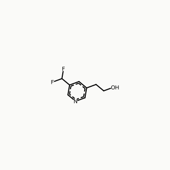 OCCc1cncc(C(F)F)c1